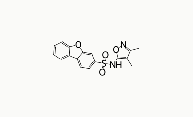 Cc1noc(NS(=O)(=O)c2ccc3c(c2)oc2ccccc23)c1C